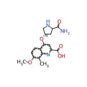 COc1ccc2c(O[C@@H]3CNC(C(N)=O)C3)cc(C(=O)O)nc2c1C